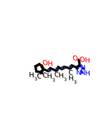 CC(/C=C/C1=C(O)CCCC1(C)C)=C\C=C\C(C)=C\c1n[nH]nc1C(=O)O